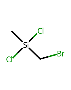 C[Si](Cl)(Cl)CBr